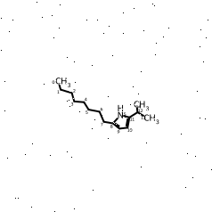 CCCCCCCCc1ccc(C(C)C)[nH]1